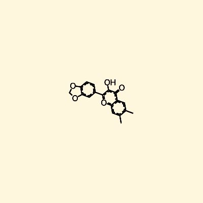 Cc1cc2oc(-c3ccc4c(c3)OCO4)c(O)c(=O)c2cc1C